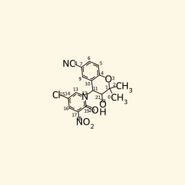 CC1(C)Oc2ccc(C#N)cc2C(n2cc(Cl)cc([N+](=O)[O-])c2=O)C1O